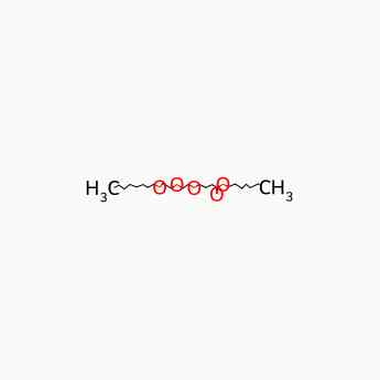 CCCCCCCCOCCOCCOCCCC(=O)OCCCCCCC